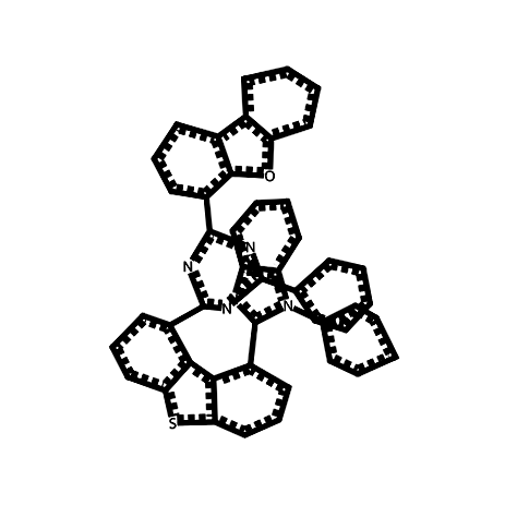 c1ccc(-c2nc(-c3cccc4c3oc3ccccc34)nc(-c3cccc4sc5cccc(-c6nc7ccccc7n6-c6ccccc6)c5c34)n2)cc1